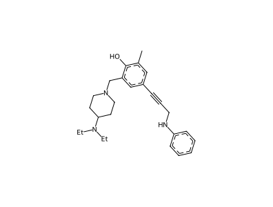 CCN(CC)C1CCN(Cc2cc(C#CCNc3ccccc3)cc(C)c2O)CC1